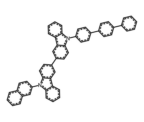 c1ccc(-c2ccc(-c3ccc(-n4c5ccccc5c5cc(-c6ccc7c(c6)c6ccccc6n7-c6ccc7ccccc7c6)ccc54)cc3)cc2)cc1